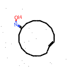 ON=C1CCCCCC/C=C/CCCCCCC1